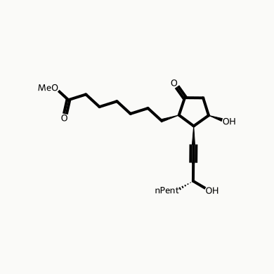 CCCCC[C@@H](O)C#C[C@@H]1[C@H](O)CC(=O)[C@@H]1CCCCCCC(=O)OC